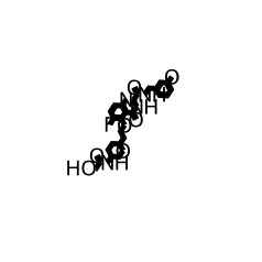 COc1cccc(CNC(=O)c2nc3ccc(F)c(OCCC4CCC(NC(=O)CO)CO4)c3c(=O)[nH]2)c1